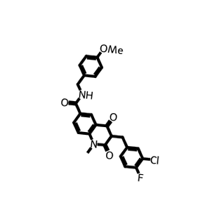 COc1ccc(CNC(=O)c2ccc3c(c2)C(=O)C(Cc2ccc(F)c(Cl)c2)C(=O)N3C)cc1